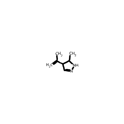 C=C(C)C1C=NNC1C